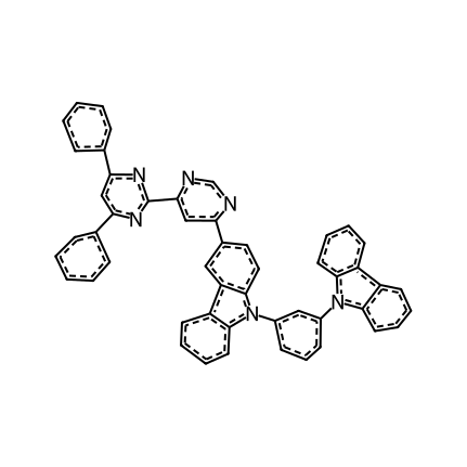 c1ccc(-c2cc(-c3ccccc3)nc(-c3cc(-c4ccc5c(c4)c4ccccc4n5-c4cccc(-n5c6ccccc6c6ccccc65)c4)ncn3)n2)cc1